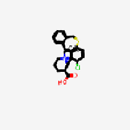 CC[N+]12CCCC(C(=O)O)C1C21C2=C(C=CC1Cl)SCc1ccccc1C2